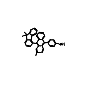 Cc1ccc2c(-c3ccc(C#N)cc3)c3ccccc3c(-c3cccc4c3-c3ccccc3C4(C)C)c2c1